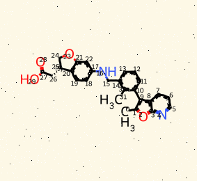 Cc1oc2ncccc2c1-c1cccc(CNc2ccc3c(c2)OC[C@H]3CC(=O)O)c1C